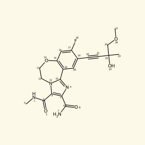 CNC(=O)c1c(C(N)=O)nc2n1CCOc1cc(F)c(C#CC(C)(O)COC)cc1-2